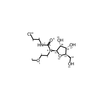 COCCN(C(=O)NCCCl)[C@@H]1O[C@H](CO)[C@@H](O)[C@H]1O